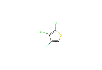 Fc1csc(Cl)c1Cl